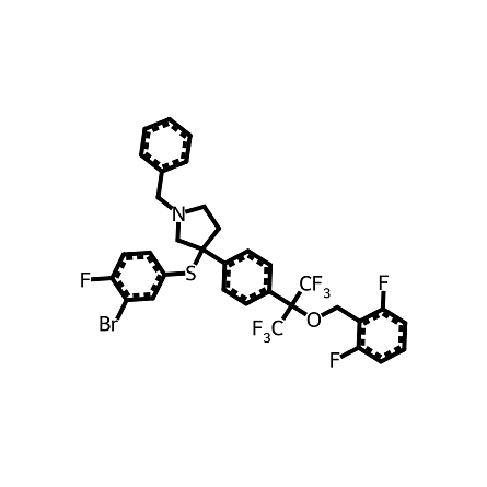 Fc1ccc(SC2(c3ccc(C(OCc4c(F)cccc4F)(C(F)(F)F)C(F)(F)F)cc3)CCN(Cc3ccccc3)C2)cc1Br